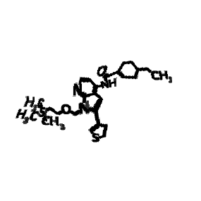 CCC1CCC(C(=O)Nc2ccnc3c2cc(-c2ccsc2)n3COCC[Si](C)(C)C)CC1